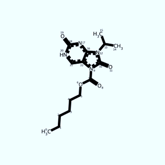 CCCCCCOC(=O)n1c(=O)n(C(C)C)c2nc(=O)[nH]cc21